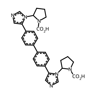 O=C(O)N1CCCC1n1cncc1-c1ccc(-c2ccc(-c3cncn3C3CCCN3C(=O)O)cc2)cc1